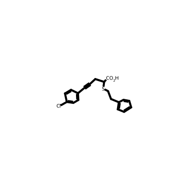 O=C(O)C(CC#Cc1ccc(Cl)cc1)SCCc1ccccc1